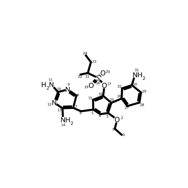 CCOc1cc(Cc2cnc(N)nc2N)cc(OS(=O)(=O)C(C)CC)c1-c1cccc(N)c1